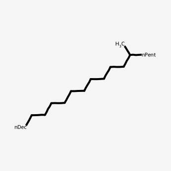 CCCCCCCCCCCCCCCCCCCCC(C)CCCCC